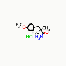 CC(C)(Cc1ccc(OC(F)(F)F)cc1)C(N)=O.Cl